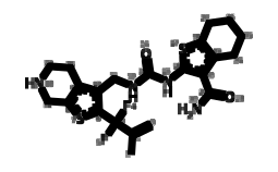 C=C(C)C(F)(F)c1sc2c(c1CNC(=O)Nc1sc3c(c1C(N)=O)CCCC3)CCNC2